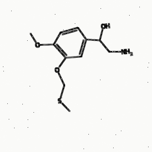 COc1ccc(C(O)CN)cc1OCSC